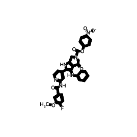 COc1cc(C(=O)Nc2cc(-c3[nH]c4c(c3Nc3ccccc3)C(=O)CN(C(=O)Oc3ccc([N+](=O)[O-])cc3)C4)ccn2)ccc1F